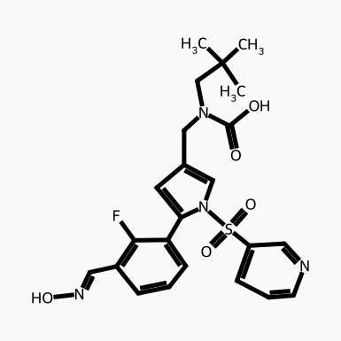 CC(C)(C)CN(Cc1cc(-c2cccc(C=NO)c2F)n(S(=O)(=O)c2cccnc2)c1)C(=O)O